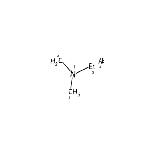 CCN(C)C.[Al]